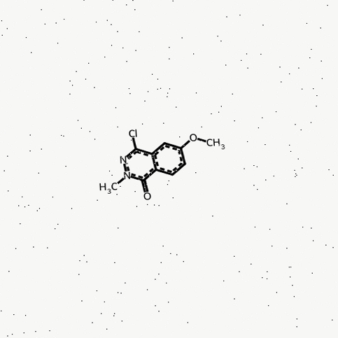 COc1ccc2c(=O)n(C)nc(Cl)c2c1